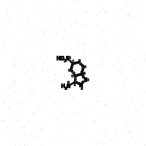 Nc1nsc2ccc(S(=O)(=O)O)cc12